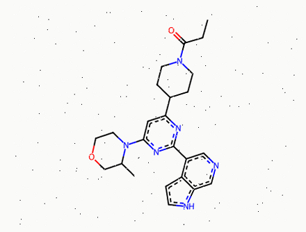 CCC(=O)N1CCC(c2cc(N3CCOCC3C)nc(-c3cncc4[nH]ccc34)n2)CC1